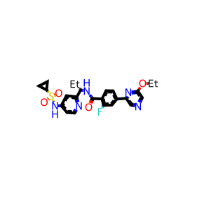 CCOc1cncc(-c2ccc(C(=O)NC(CC)c3cc(NS(=O)(=O)C4CC4)ccn3)c(F)c2)n1